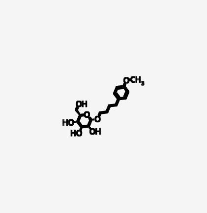 COc1ccc(CCCCO[C@H]2O[C@H](CO)[C@@H](O)[C@H](O)[C@H]2O)cc1